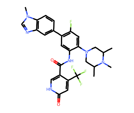 CC1CN(c2cc(F)c(-c3ccc4c(c3)ncn4C)cc2NC(=O)c2c[nH]c(=O)cc2C(F)(F)F)CC(C)N1C